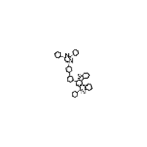 c1ccc(-c2cc(-c3ccc(-c4cccc(-c5cc6c(-c7ccccc7)nc7ccccc7c6c6c5sc5ccccc56)c4)cc3)nc(-c3ccccc3)n2)cc1